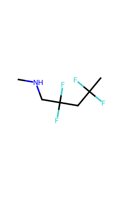 CNCC(F)(F)CC(C)(F)F